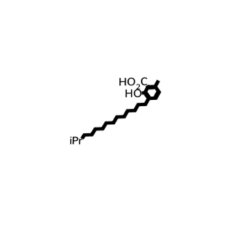 Cc1ccc(CCCCCCCCCCCCC(C)C)c(O)c1C(=O)O